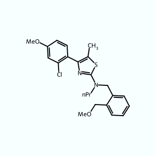 CCCN(Cc1ccccc1COC)c1nc(-c2ccc(OC)cc2Cl)c(C)s1